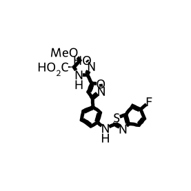 COC[C@H](N/C(=N\O)c1cc(-c2cccc(Nc3nc4ccc(F)cc4s3)c2)no1)C(=O)O